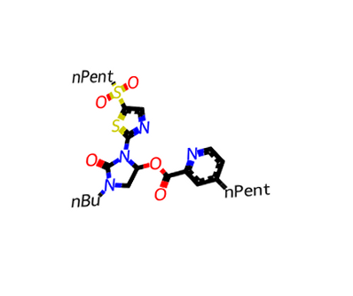 CCCCCc1ccnc(C(=O)OC2CN(CCCC)C(=O)N2c2ncc(S(=O)(=O)CCCCC)s2)c1